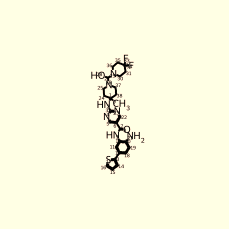 CC1(Nc2ncc(C(=O)Nc3cc(-c4cccs4)ccc3N)cn2)CCN(C(O)N2CCC(F)(F)CC2)CC1